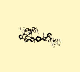 CC(C)(C)OC(=O)N1CCCC1c1ncc(-c2ccc(-c3cnc(-c4cnc([C@@H]5CCCN5C(=O)OC(C)(C)C)n4COCC[Si](C)(C)C)cn3)cc2)[nH]1